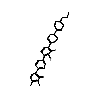 CCCC1CCC(C2CC=C(c3ccc(-c4ccc(-c5ccc(C)c(F)c5F)cc4)c(F)c3F)CC2)CC1